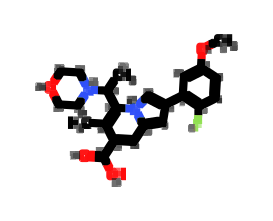 COc1ccc(F)c(-c2cc3cc(C(=O)O)c(C)c(C(C)N4CCOCC4)n3c2)c1